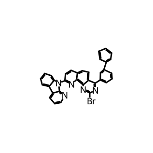 Brc1nc(-c2cccc(-c3ccccc3)c2)c2ccc3ccc(-n4c5ccccc5c5cccnc54)nc3c2n1